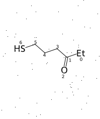 CCC(=O)CCCS